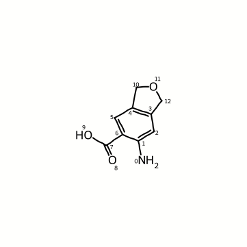 Nc1cc2c(cc1C(=O)O)COC2